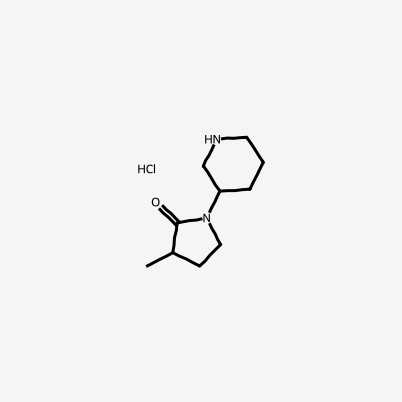 CC1CCN(C2CCCNC2)C1=O.Cl